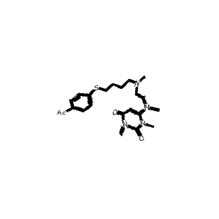 CC(=O)c1ccc(SCCCCN(C)CCN(C)c2cc(=O)n(C)c(=O)n2C)cc1